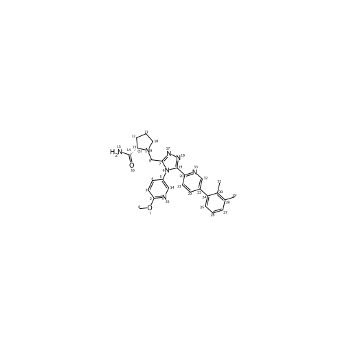 COc1ccc(-n2c(CN3CCC[C@H]3C(N)=O)nnc2-c2ccc(-c3cccc(C)c3C)cn2)cn1